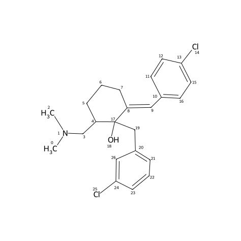 CN(C)CC1CCCC(=Cc2ccc(Cl)cc2)C1(O)Cc1cccc(Cl)c1